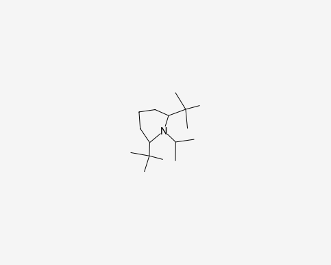 CC(C)N1C(C(C)(C)C)CCCC1C(C)(C)C